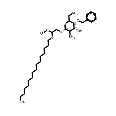 CCCCCCCCCCCCCCCCOC(CO[C@@H]1OC(CN)[C@H](OCc2ccccc2)[C@H](O)C1N)OC